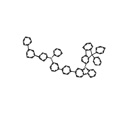 c1ccc(-c2cccc(-c3ccc(N(c4ccccc4)c4cccc(-c5ccc(-c6ccc7c8ccccc8n(-c8ccc9c(c8)C(c8ccccc8)(c8ccccc8)c8ccccc8-9)c7c6)cc5)c4)cc3)c2)cc1